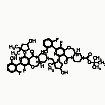 CC(C)(C)OC(=O)N1CCN2C(=O)c3c(N4CC(O)CC4(C)CN4CCN5C(=O)c6c(N7CC(O)CC7(C)C)nc(-c7c(O)cccc7F)c(F)c6OC[C@H]5C4)nc(-c4c(O)cccc4F)c(F)c3OC[C@H]2C1